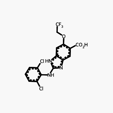 O=C(O)c1cc2nc(Nc3c(Cl)cccc3Cl)[nH]c2cc1OCC(F)(F)F